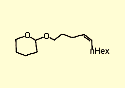 CCCCCC/C=C\CCCOC1CCCCO1